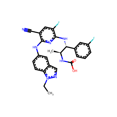 CCn1ncc2cc(Nc3nc(N[C@H](c4cccc(F)c4)[C@H](C)NC(=O)O)c(F)cc3C#N)ccc21